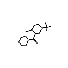 CN1CCN(C(C)(C)C)CC1C(=O)N1CCNCC1